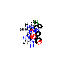 CCNC(=O)[C@H](NC(=O)C1(c2ccc3nc([C@@H](NC(=O)OC)[C@H](c4ccccc4Cl)C4(C)CC4)[nH]c3c2)CCOCC1)C(C)C